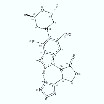 C[C@@H]1CN(c2c(C=O)cc3c(N4C(=O)OCC4c4ncnn4C)noc3c2F)C[C@@H](C)O1